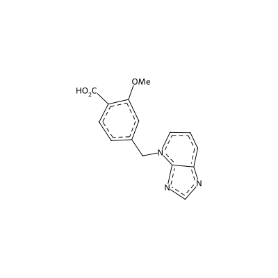 COc1cc(Cn2cccc3ncnc2-3)ccc1C(=O)O